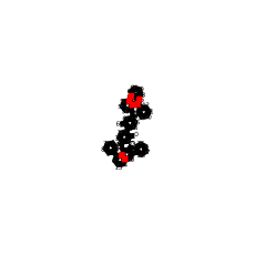 Cc1cc(N(c2ccccc2-c2ccccc2)c2cccc3c2sc2ccccc23)ccc1-c1ccc(N(c2ccccc2-c2ccccc2)c2cccc3c2sc2ccccc23)cc1C